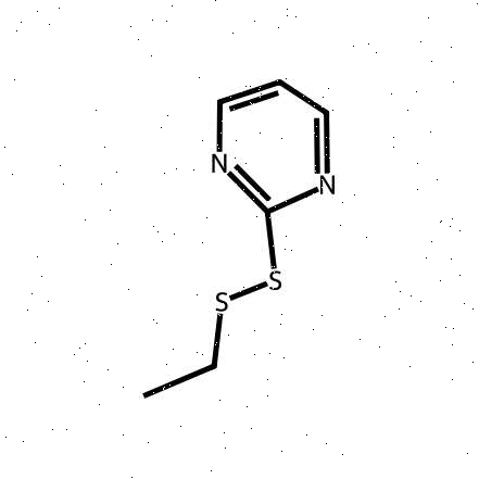 CCSSc1ncccn1